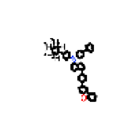 [2H]c1c([2H])c([2H])c(-c2ccc(N(c3ccc(-c4ccccc4)cc3)c3cccc4c(-c5ccc(-c6ccc7oc8ccccc8c7c6)cc5)cccc34)cc2)c([2H])c1[2H]